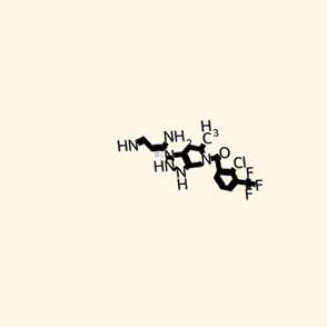 CC1CC2=C(CN1C(=O)c1cccc(C(F)(F)F)c1Cl)NNN2/C(N)=C/C=N